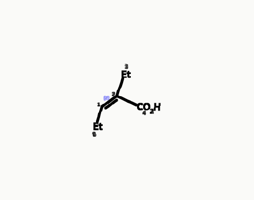 CC/C=C(/CC)C(=O)O